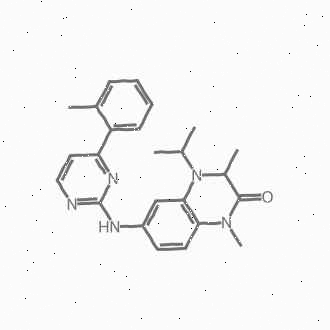 Cc1ccccc1-c1ccnc(Nc2ccc3c(c2)N(C(C)C)C(C)C(=O)N3C)n1